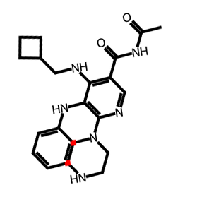 CC(=O)NC(=O)c1cnc(N2CCNCC2)c(Nc2ccccc2)c1NCC1CCC1